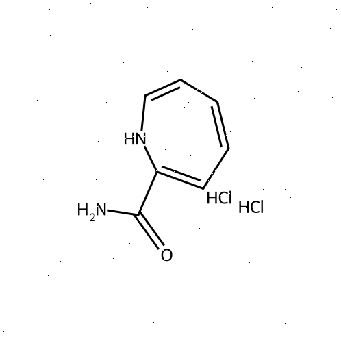 Cl.Cl.NC(=O)C1=CC=CC=CN1